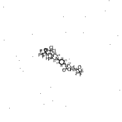 O=C1OC(CNC(=O)C(F)(F)F)CN1c1ccc(N2CCN(C(NC(=O)C(F)(F)F)C(Cl)(Cl)Cl)C(F)C2)cc1